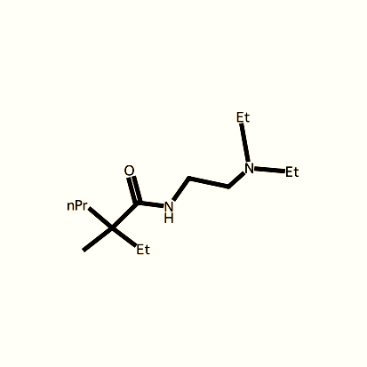 CCCC(C)(CC)C(=O)NCCN(CC)CC